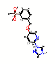 CS(=O)(=O)c1cccc(COc2ccc(-n3cncn3)nc2)c1